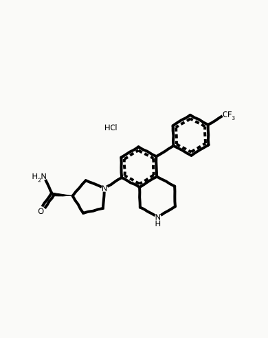 Cl.NC(=O)[C@@H]1CCN(c2ccc(-c3ccc(C(F)(F)F)cc3)c3c2CNCC3)C1